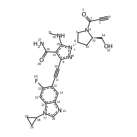 C#CC(=O)N1C[C@@H](n2nc(C#Cc3cc4ncn(C5CC5)c4cc3F)c(C(N)=O)c2NC)C[C@@H]1CO